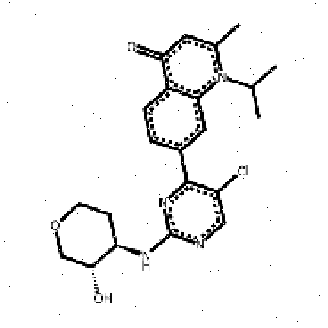 Cc1cc(=O)c2ccc(-c3nc(N[C@@H]4CCOC[C@H]4O)ncc3Cl)cc2n1C(C)C